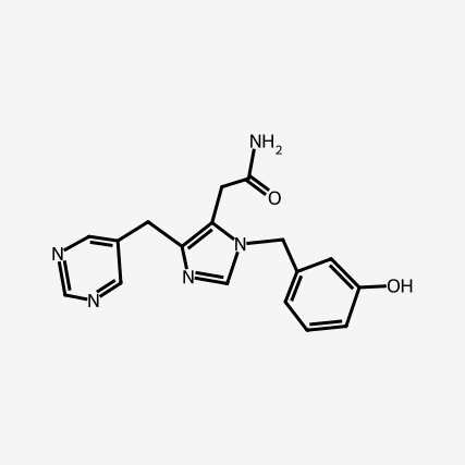 NC(=O)Cc1c(Cc2cncnc2)ncn1Cc1cccc(O)c1